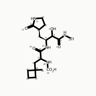 CCNC(=O)C(O)[C@H](C[C@@H]1CCNC1=O)NC(=O)C(CC1(C)CCC1)NC(=O)O